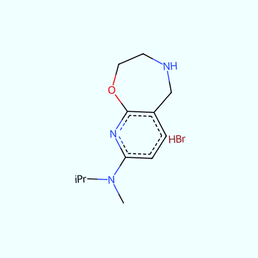 Br.CC(C)N(C)c1ccc2c(n1)OCCNC2